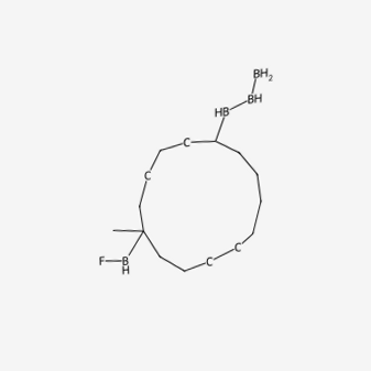 BBBC1CCCCCCCCC(C)(BF)CCCC1